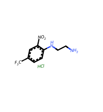 Cl.NCCNc1ccc(C(F)(F)F)cc1[N+](=O)[O-]